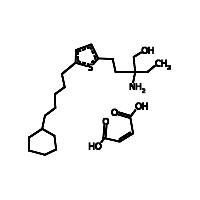 CCC(N)(CO)CCc1ccc(CCCCCC2CCCCC2)s1.O=C(O)/C=C\C(=O)O